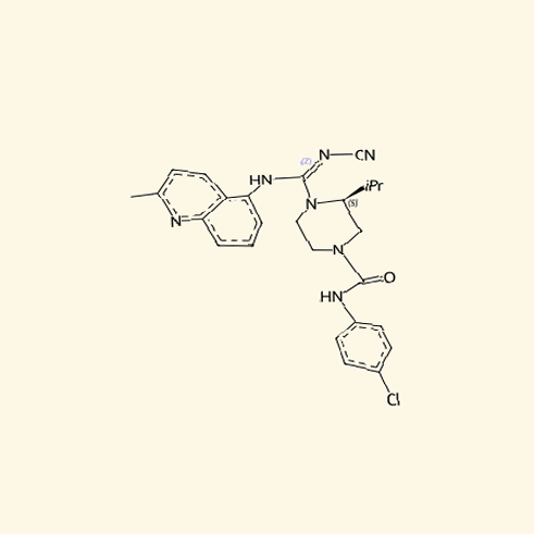 Cc1ccc2c(N/C(=N/C#N)N3CCN(C(=O)Nc4ccc(Cl)cc4)C[C@@H]3C(C)C)cccc2n1